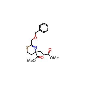 COC(=O)CCC1(C(=O)OC)CCSC(COCc2ccccc2)=N1